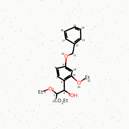 CCOC(=O)C(OCC)C(O)c1ccc(OCc2ccccc2)cc1OCC